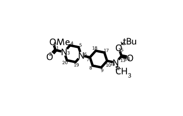 COC(=O)N1CCN(C2CCC(N(C)C(=O)OC(C)(C)C)CC2)CC1